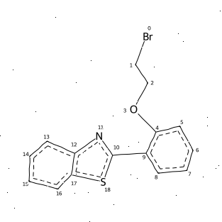 BrCCOc1ccccc1-c1nc2ccccc2s1